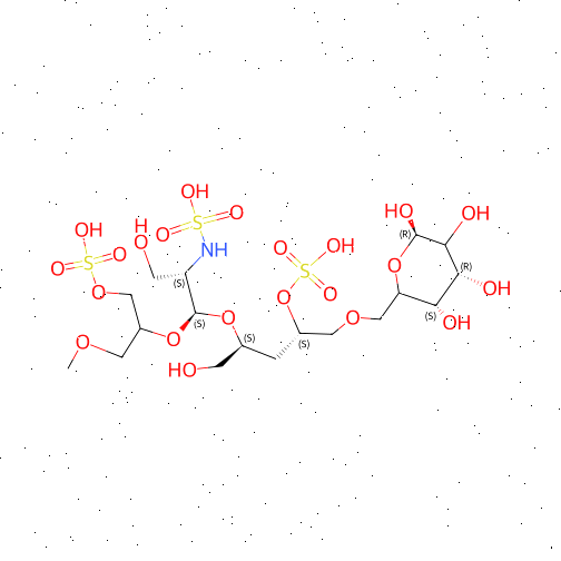 COCC(COS(=O)(=O)O)O[C@H](O[C@H](CO)C[C@@H](COCC1O[C@@H](O)C(O)[C@H](O)[C@@H]1O)OS(=O)(=O)O)[C@H](CO)NS(=O)(=O)O